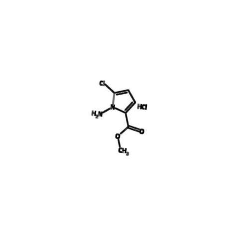 COC(=O)c1ccc(Cl)n1N.Cl